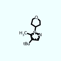 Cc1c(C(C)(C)C)cnn1C1CCOCC1